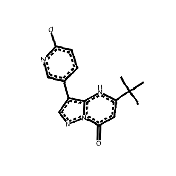 CC(C)(C)c1cc(=O)n2ncc(-c3ccc(Cl)nc3)c2[nH]1